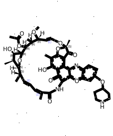 CO[C@H]1/C=C/O[C@@]2(C)Oc3c(C)c(O)c4c(=O)c(c5oc6cc(OC7CCNCC7)ccc6nc-5c4c3C2=O)NC(=O)/C(C)=C\C=C\[C@H](C)[C@@H]2O[C@H]([C@H](O)[C@@H]2C)[C@H](OC(C)=O)[C@@H]1C